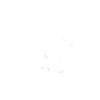 Nc1sc2c(-c3ccc(F)c(Cl)c3)ccnc2c1N